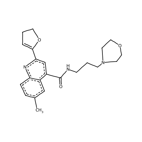 Cc1ccc2nc(C3=CCCO3)cc(C(=O)NCCCN3CCOCC3)c2c1